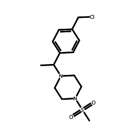 CC(c1ccc(CCl)cc1)N1CCN(S(C)(=O)=O)CC1